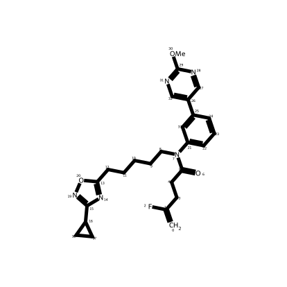 C=C(F)CCC(=O)N(CCCCCc1nc(C2CC2)no1)c1cccc(-c2cnc(OC)nc2)c1